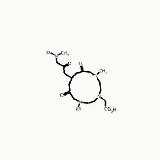 CCN(C)CC(=O)CC1CC(=O)CN(C)CCN(CC(=O)O)CCN(CC)CC(=O)C1